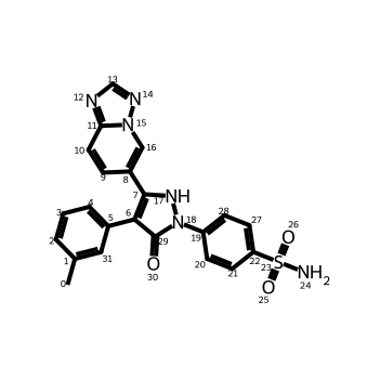 Cc1cccc(-c2c(-c3ccc4ncnn4c3)[nH]n(-c3ccc(S(N)(=O)=O)cc3)c2=O)c1